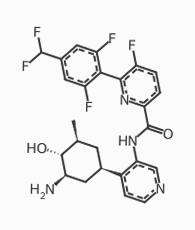 C[C@H]1C[C@@H](c2ccncc2NC(=O)c2ccc(F)c(-c3c(F)cc(C(F)F)cc3F)n2)C[C@@H](N)[C@@H]1O